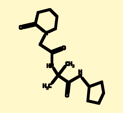 CC(C)(NC(=O)CN1CCCCC1=O)C(=O)NC1CCCC1